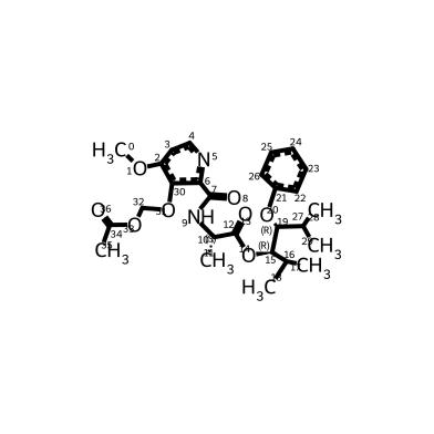 COc1ccnc(C(=O)N[C@@H](C)C(=O)O[C@H](C(C)C)[C@H](Oc2ccccc2)C(C)C)c1OCOC(C)=O